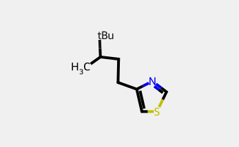 CC(CCc1cscn1)C(C)(C)C